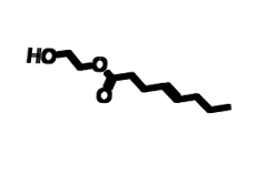 CCCC=CCCC(=O)OCCO